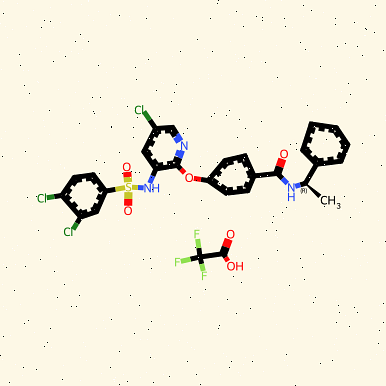 C[C@@H](NC(=O)c1ccc(Oc2ncc(Cl)cc2NS(=O)(=O)c2ccc(Cl)c(Cl)c2)cc1)c1ccccc1.O=C(O)C(F)(F)F